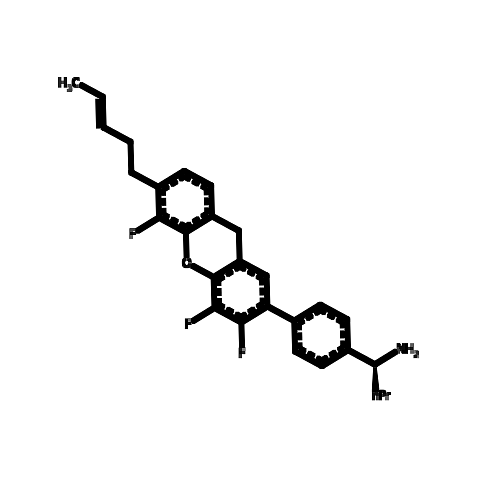 C/C=C/CCc1ccc2c(c1F)Oc1c(cc(-c3ccc([C@@H](N)CCC)cc3)c(F)c1F)C2